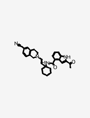 CC(=O)c1cc2c(C(=O)NC3(CCN4CCc5cc(C#N)ccc5C4)CCCCC3)cccc2[nH]1